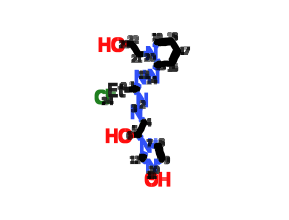 CCC(N=NCC(O)[n+]1ccn(O)c1)=NN=c1ccccn1CCO.[Cl-]